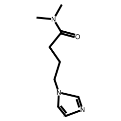 CN(C)C(=O)CCCn1c[c]nc1